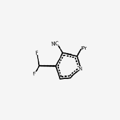 CC(C)c1nccc(C(F)F)c1C#N